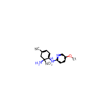 CCOc1ccc(NC2=CC=C(C#N)CC2(N)[N+](=O)[O-])nc1